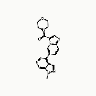 Cn1ncc2c(-c3ccc4ncc(C(=O)N5CCOCC5)n4c3)cncc21